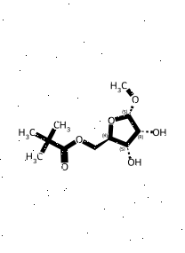 CO[C@H]1O[C@H](COC(=O)C(C)(C)C)[C@@H](O)[C@H]1O